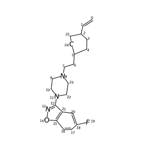 C=CC1CCC(CCN2CCN(c3noc4ccc(F)cc34)CC2)CC1